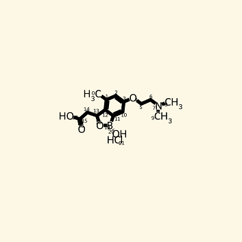 Cc1cc(OCCN(C)C)cc2c1C(CC(=O)O)OB2O.Cl